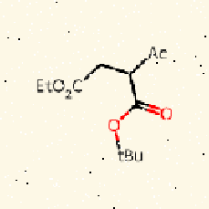 CCOC(=O)CC(C(C)=O)C(=O)OC(C)(C)C